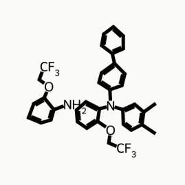 Cc1ccc(N(c2ccc(-c3ccccc3)cc2)c2ccccc2OCC(F)(F)F)cc1C.Nc1ccccc1OCC(F)(F)F